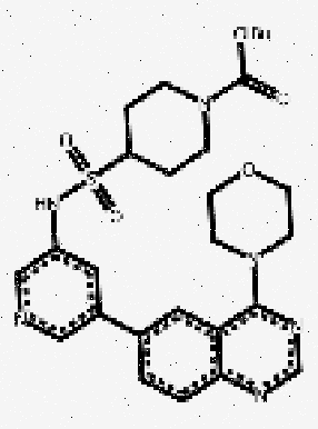 CC(C)COC(=O)N1CCC(S(=O)(=O)Nc2cncc(-c3ccc4ncnc(N5CCOCC5)c4c3)c2)CC1